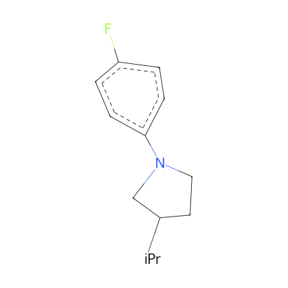 CC(C)C1CCN(c2ccc(F)cc2)C1